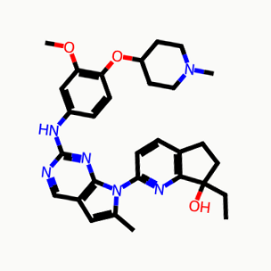 CCC1(O)CCc2ccc(-n3c(C)cc4cnc(Nc5ccc(OC6CCN(C)CC6)c(OC)c5)nc43)nc21